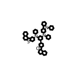 c1ccc(N(c2cc(-c3ccc4c(c3)oc3ccc5ccccc5c34)cc(N(c3ccccc3)c3ccc4c5ccccc5n(-c5ccccc5)c4c3)c2)c2ccc3sc4ccc5ccccc5c4c3c2)cc1